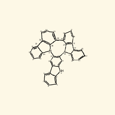 c1ccc2c(c1)[nH]c1cc3c(cc12)n1c2ccccc2c2cccc(c4cccc5c6ccccc6n3c54)c21